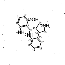 Nc1cccc(O)c1CNc1ccccc1C1CCNC1